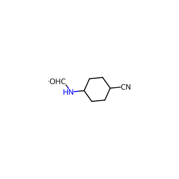 N#CC1CCC(N[C]=O)CC1